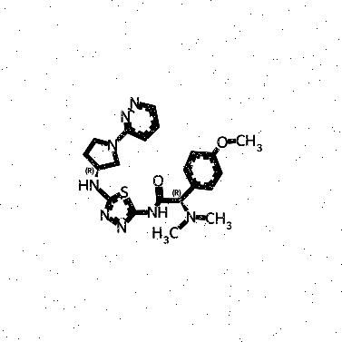 COc1ccc([C@H](C(=O)Nc2nnc(N[C@@H]3CCN(c4cccnn4)C3)s2)N(C)C)cc1